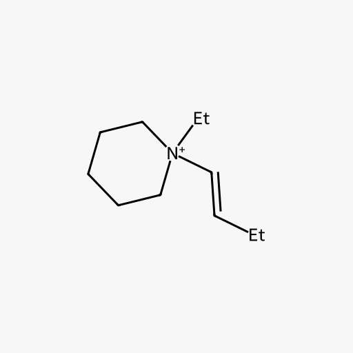 CCC=C[N+]1(CC)CCCCC1